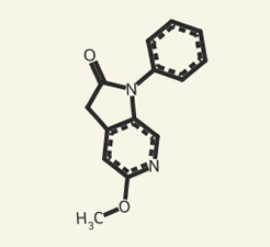 COc1cc2c(cn1)N(c1ccccc1)C(=O)C2